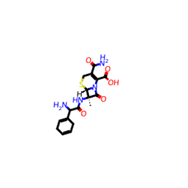 C[C@@]1(NC(=O)C(N)C2=CCC=CC2)C(=O)N2C(C(=O)O)=C(C(N)=O)CS[C@H]21